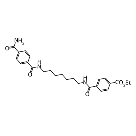 CCOC(=O)c1ccc(C(=O)NCCCCCCCNC(=O)c2ccc(C(N)=O)cc2)cc1